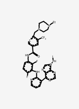 CCN1CCN(Cc2ccc(C(=O)Nc3ccc(F)c(Nc4ncccc4-c4ncnc5c4ncn5PI)c3F)cc2C(F)(F)F)CC1